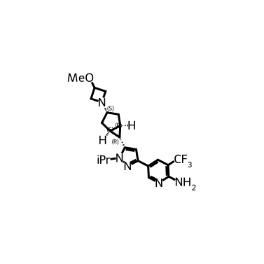 COC1CN([C@@H]2C[C@@H]3[C@H](C2)[C@H]3c2cc(-c3cnc(N)c(C(F)(F)F)c3)nn2C(C)C)C1